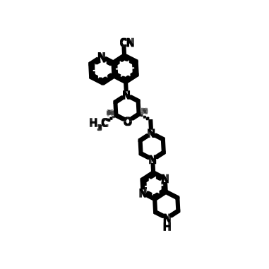 C[C@@H]1CN(c2ccc(C#N)c3ncccc23)C[C@H](CN2CCN(c3cnc4c(n3)CCNC4)CC2)O1